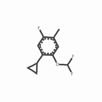 Cc1cc(OC(F)F)c(C2CC2)cc1F